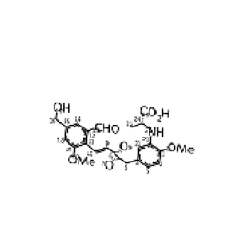 COc1ccc(CS(=O)(=O)/C=C/c2c(C=O)cc(CO)cc2OC)cc1N[C@H](C)C(=O)O